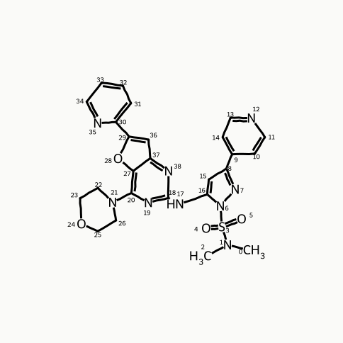 CN(C)S(=O)(=O)n1nc(-c2ccncc2)cc1Nc1nc(N2CCOCC2)c2oc(-c3ccccn3)cc2n1